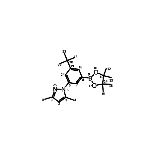 Cc1cc(C)n(-c2cc(B3OC(C)(C)C(C)(C)O3)cc(C(C)(C)C)c2)n1